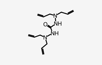 C=CCN(CC=C)NC(=O)NN(CC=C)CC=C